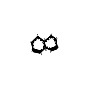 c1ccc2ccc#cc2c#1